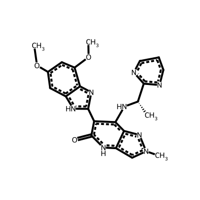 COc1cc(OC)c2nc(-c3c(N[C@@H](C)c4ncccn4)c4nn(C)cc4[nH]c3=O)[nH]c2c1